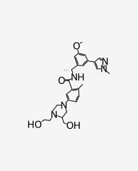 COc1cc(-c2cnn(C)c2)cc([C@@H](C)NC(=O)c2cc(N3CCN(CCO)C(CO)C3)ccc2C)c1